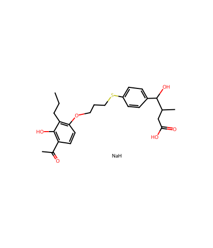 CCCc1c(OCCCSc2ccc(C(O)C(C)CC(=O)O)cc2)ccc(C(C)=O)c1O.[NaH]